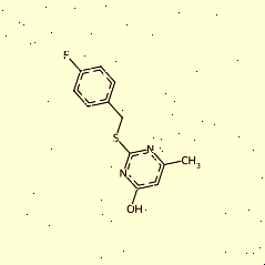 Cc1cc(O)nc(SCc2ccc(F)cc2)n1